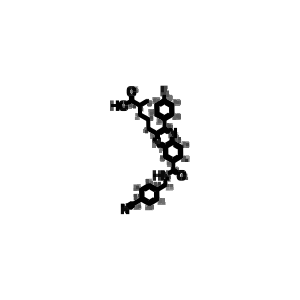 CC(CCCc1nc2cc(C(=O)NCc3ccc(C#N)cc3)ccc2nc1-c1ccc(F)cc1)C(=O)O